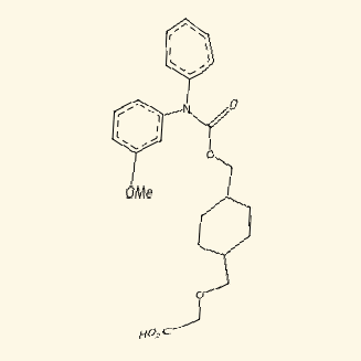 COc1cccc(N(C(=O)OCC2CCC(COCC(=O)O)CC2)c2ccccc2)c1